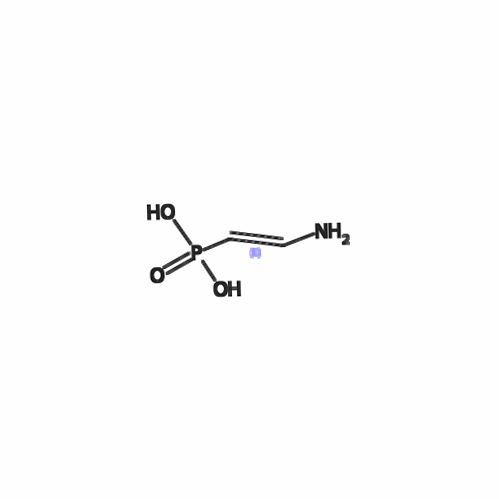 N/C=C/P(=O)(O)O